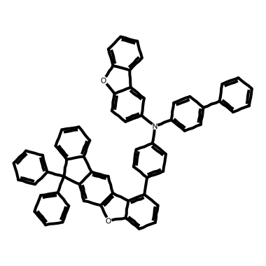 c1ccc(-c2ccc(N(c3ccc(-c4cccc5oc6cc7c(cc6c45)-c4ccccc4C7(c4ccccc4)c4ccccc4)cc3)c3ccc4oc5ccccc5c4c3)cc2)cc1